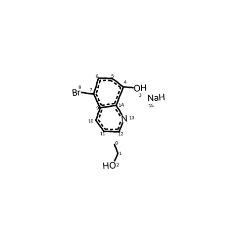 CCO.Oc1ccc(Br)c2cccnc12.[NaH]